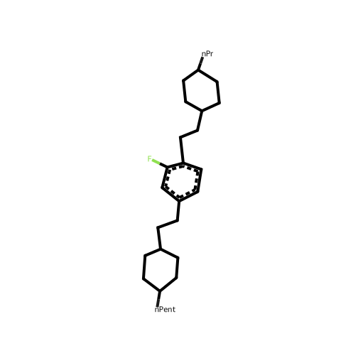 CCCCCC1CCC(CCc2ccc(CCC3CCC(CCC)CC3)c(F)c2)CC1